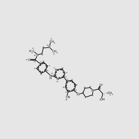 C[C@H](O)C(=O)N1CCC(Oc2ccc(-c3ccnc(Nc4ccc(C(=O)N(C)CCN(C)C)cc4)n3)cc2C#N)CC1